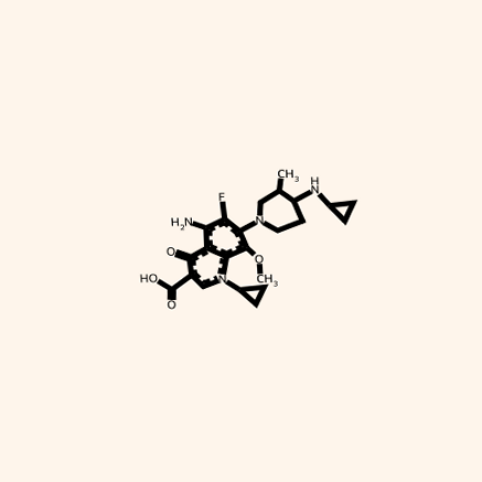 COc1c(N2CCC(NC3CC3)C(C)C2)c(F)c(N)c2c(=O)c(C(=O)O)cn(C3CC3)c12